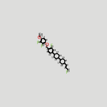 CCOc1ccc(OCc2ccc(C3CCC(C4CCC(/C=C/CF)CC4)CC3)cc2F)c(F)c1F